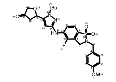 COc1ccc(CN2Cc3c(ccc(Nc4cc(C5CC(=O)CO5)n(C(C)(C)C)n4)c3F)S2(=O)=O)cc1